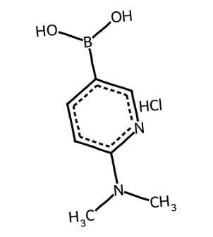 CN(C)c1ccc(B(O)O)cn1.Cl